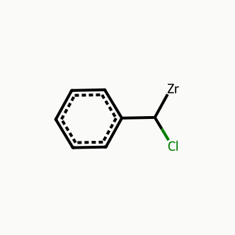 Cl[CH]([Zr])c1ccccc1